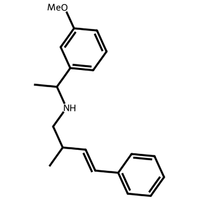 COc1cccc(C(C)NCC(C)C=Cc2ccccc2)c1